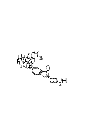 CC1(C)OB(c2ccc3c(c2)C(=O)N(CC(=O)O)C3)OC1(C)C